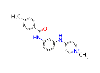 Cc1ccc(C(=O)Nc2cccc(Nc3cc[n+](C)cc3)c2)cc1